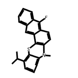 CC(C)c1cccc2c1Sc1c(ccc3c(F)c4ccccc4cc13)N2C